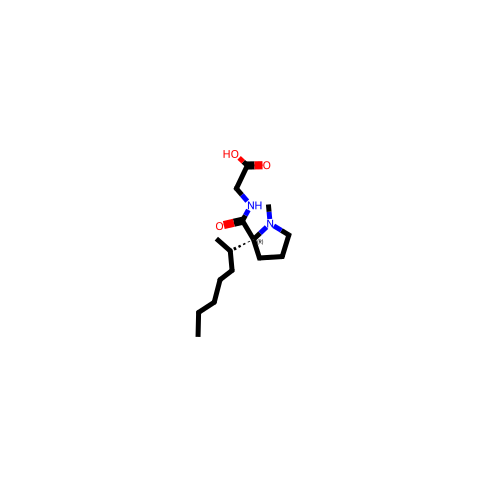 CCCCCC(C)[C@@]1(C(=O)NCC(=O)O)CCCN1C